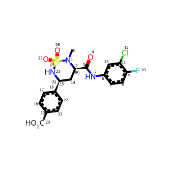 CN1[C@@H](C(=O)Nc2ccc(F)c(Cl)c2)C[C@@H](c2ccc(C(=O)O)cc2)NS1(=O)=O